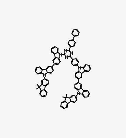 CC1(C)c2ccccc2-c2ccc(-n3c4ccccc4c4cc(-c5ccc6c(c5)c5ccccc5n6-c5ccc(-c6nc(-c7ccc(-c8ccccc8)cc7)nc(-n7c8ccccc8c8cc(-c9ccc%10c(c9)c9ccccc9n%10-c9ccc%10c(c9)C(C)(C)c9ccccc9-%10)ccc87)n6)cc5)ccc43)cc21